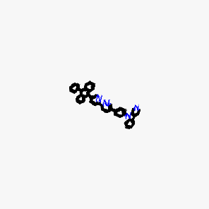 c1ccc(-c2c3ccccc3c(-c3ccc(-c4ccc(-c5ccc(-n6c7ccccc7c7ccncc76)cc5)cn4)nc3)c3ccccc23)cc1